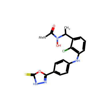 CNC(=O)N(O)C(C)c1cccc(Nc2ccc(-c3n[nH]c(=S)o3)cc2)c1Cl